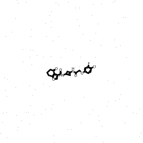 O=C(COc1ccc(Cl)c(F)c1)NC12CC(NC(=O)c3coc4c3C(=O)CCC4)(C1)C2